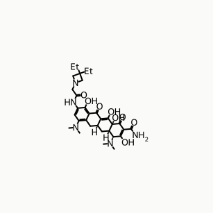 CCC1(CC)CN(CC(=O)Nc2cc(N(C)C)c3c(c2O)C(=O)C2=C(O)[C@]4(O)C(=O)C(C(N)=O)=C(O)[C@@H](N(C)C)[C@@H]4C[C@@H]2C3)C1